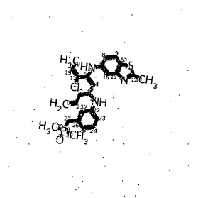 C=CCC(/C=C(Nc1ccc2sc(C)nc2c1)\C(Cl)=C/C)Nc1cccc(CP(C)(C)=O)c1